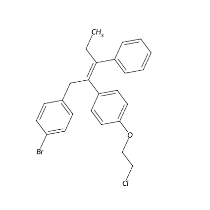 CC/C(=C(\Cc1ccc(Br)cc1)c1ccc(OCCCl)cc1)c1ccccc1